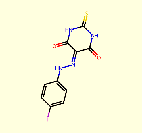 O=C1NC(=S)NC(=O)C1=NNc1ccc(I)cc1